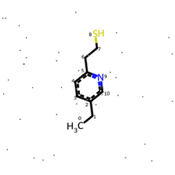 CCc1ccc(CCS)nc1